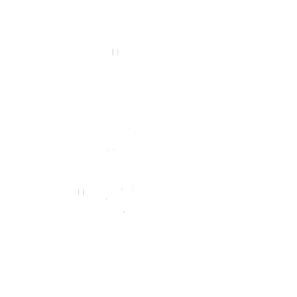 C.C.CCC.CCCCC.O=C(O)O.O=C(O)O